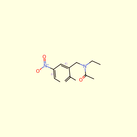 C=C(C)/C(=C\C(=C/C)[N+](=O)[O-])CN(CC)C(C)=O